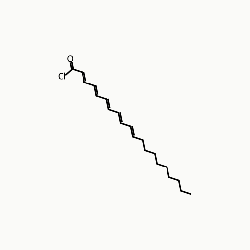 CCCCCCCCC/C=C/C=C/C=C/C=C/C=C/C(=O)Cl